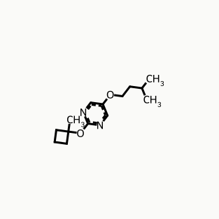 CC(C)CCOc1cnc(OC2(C)CCC2)nc1